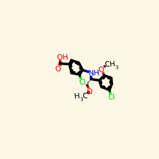 COC[C@H](Nc1ccc(C(=O)O)cc1Cl)c1cc(Cl)ccc1OC